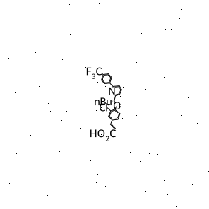 CCCC[C@@H](Oc1ccc(C=CC(=O)O)cc1Cl)c1cccc(-c2ccc(C(F)(F)F)cc2)n1